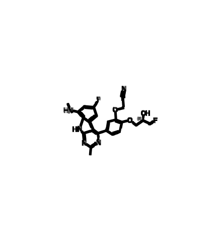 CNc1cc(F)cc2c1[nH]c1nc(C)nc(-c3ccc(OC[C@@H](O)CF)c(OCC#N)c3)c12